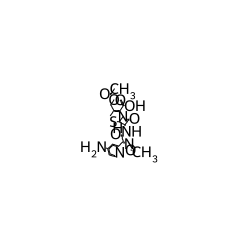 CON=C(C(=O)N[C@@H]1C(=O)N2C(C(=O)O)=C(COC(C)=O)CS[C@H]12)c1cc(N)ccn1